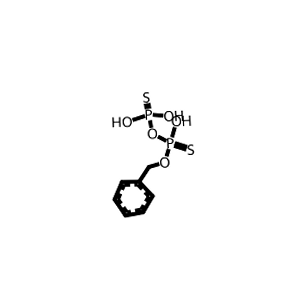 OP(O)(=S)OP(O)(=S)OCc1ccccc1